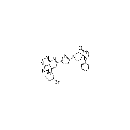 Nc1ncnc2nc(-c3ccc(N4CCC5(CC4)C(=O)N=CN5c4ccccc4)nc3)cc(-c3cccc(Br)c3)c12